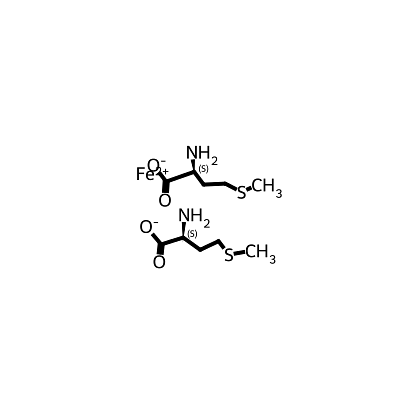 CSCC[C@H](N)C(=O)[O-].CSCC[C@H](N)C(=O)[O-].[Fe+2]